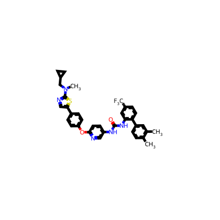 Cc1ccc(-c2ccc(C(F)(F)F)cc2NC(=O)Nc2ccc(Oc3ccc(-c4cnc(N(C)CC5CC5)s4)cc3)nc2)cc1C